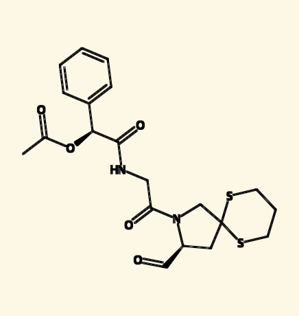 CC(=O)O[C@H](C(=O)NCC(=O)N1CC2(C[C@H]1C=O)SCCCS2)c1ccccc1